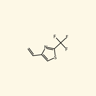 C=Cc1csc(C(F)(F)F)n1